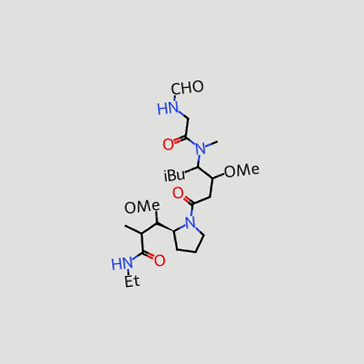 CCNC(=O)C(C)C(OC)[C@@H]1CCCN1C(=O)CC(OC)C(C(C)CC)N(C)C(=O)CNC=O